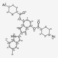 CC(=O)C1CCC(C(=O)Oc2ccc(OC(=O)C3CCC(C(C)=O)CC3)c3sc(-c4cc5cc(C)cc(C)c5[nH]4)nc23)CC1